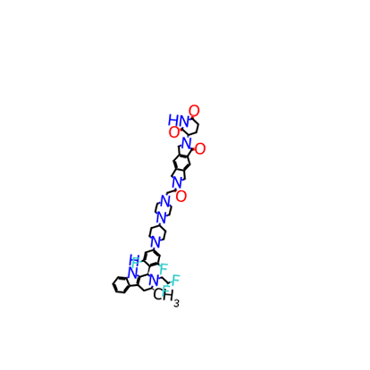 C[C@@H]1Cc2c([nH]c3ccccc23)[C@@H](c2c(F)cc(N3CCC(N4CCN(CC(=O)N5Cc6cc7c(cc6C5)C(=O)N(C5CCC(=O)NC5=O)C7)CC4)CC3)cc2F)N1CC(F)F